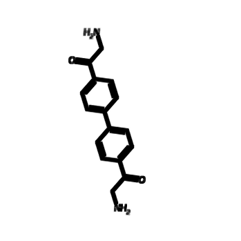 NCC(=O)c1ccc(-c2ccc(C(=O)CN)cc2)cc1